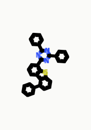 c1ccc(-c2nc(-c3ccccc3)nc(-c3cccc4c3sc3cccc(-c5ccccc5)c34)n2)cc1